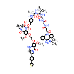 COc1cc2c(cc1OCCCOc1cc3c(cc1OC)C(=O)N1CC4(CC4)C[C@H]1C(O)N3C(=O)OCc1ccc(NC(=O)[C@H](C)NC(=O)[C@@H](NC(=O)CNC(=O)CNC(=O)CCC(=O)N3Cc4ccccc4-c4nnn(C(C)C)c4-c4ccccc43)C(C)C)cc1)NC[C@@H]1CC(c3ccc(-c4ccsc4)cc3)=CN1C2=O